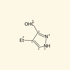 CCc1c[nH]nc1C=O